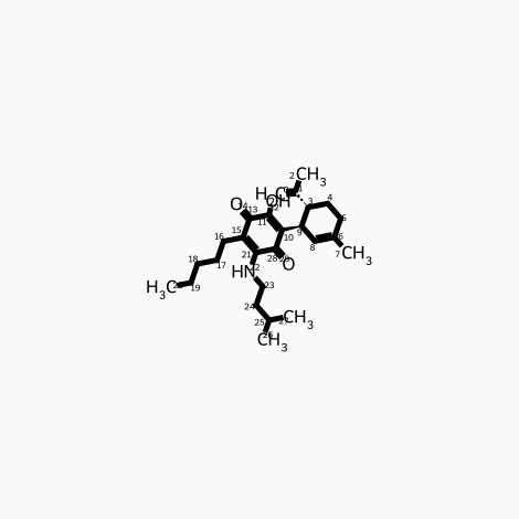 C=C(C)[C@@H]1CCC(C)=C[C@H]1C1=C(O)C(=O)C(CCCCC)=C(NCCC(C)C)C1=O